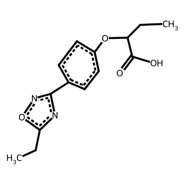 CCc1nc(-c2ccc(OC(CC)C(=O)O)cc2)no1